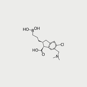 CN(C)Cc1cc2c(cc1Cl)C[C@H](CCCB(O)O)[C@@H]2C(=O)O